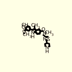 CCc1c(-c2ccc(OC)c(OC)c2)[nH]c2ccc(C(=O)N(C)Cc3csc(C4CCNCC4)n3)cc12